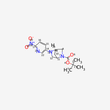 CC(C)(C)OC(=O)N1C[C@H]2CC1CN2c1ccc([N+](=O)[O-])nc1